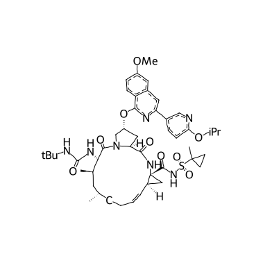 COc1ccc2c(O[C@@H]3C[C@H]4C(=O)N[C@]5(C(=O)NS(=O)(=O)C6(C)CC6)C[C@H]5C=CCC[C@H](C)C[C@@H](C)[C@H](NC(=O)NC(C)(C)C)C(=O)N4C3)nc(-c3ccc(OC(C)C)nc3)cc2c1